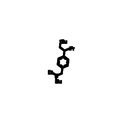 CCC(C)N(CC)Cc1ccc(C(CC(C)(C)C)C(C)C)cc1